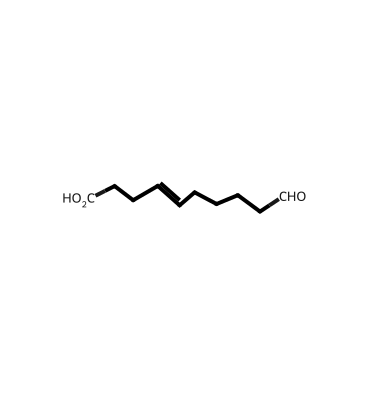 O=CCCCC/C=C/CCC(=O)O